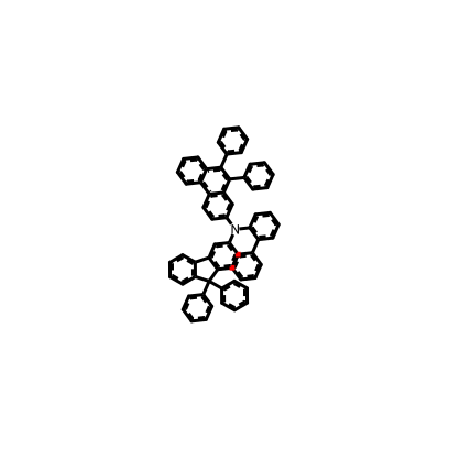 c1ccc(-c2ccccc2N(c2ccc3c(c2)-c2ccccc2C3(c2ccccc2)c2ccccc2)c2ccc3c(c2)c(-c2ccccc2)c(-c2ccccc2)c2ccccc23)cc1